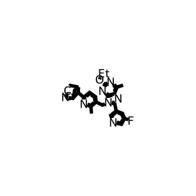 CCOc1nc(C)c2nc(-c3cncc(F)c3)n(Cc3ccc(C4CN5CCCC4CC5)nc3C)c2n1